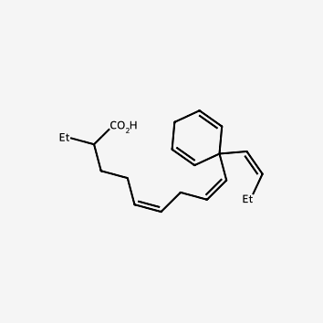 CC/C=C\C1(/C=C\C/C=C\CCC(CC)C(=O)O)C=CCC=C1